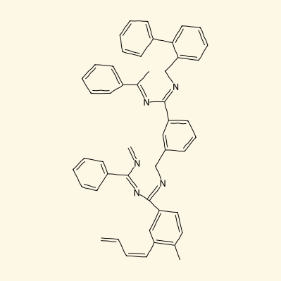 C=C/C=C\c1cc(C(/N=C(\N=C)c2ccccc2)=N/Cc2cccc(C(=N/Cc3ccccc3-c3ccccc3)/N=C(\C)c3ccccc3)c2)ccc1C